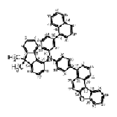 CC1(C)c2ccccc2-c2c(N(c3ccc(-c4cccc5c4ccc4oc6ccccc6c45)cc3)c3cccc(-c4cccc5ccccc45)c3)cccc21